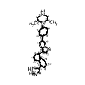 C[C@@H]1CNC[C@H](C)N1c1ccc(-c2cnc3c(-c4cccc5c(-c6nnn[nH]6)cccc45)cnn3c2)cc1